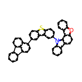 c1ccc2c(c1)-c1cccc3c(-c4ccc5sc6ccc(-n7c8ccccc8c8ccc9oc%10ccccc%10c9c87)cc6c5c4)ccc-2c13